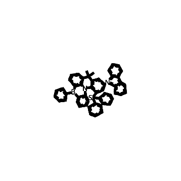 CC1(C)c2cccc3c2N2c4c(cccc4[Si](c4ccccc4)(c4ccccc4)c4cc(-n5c6ccccc6c6ccccc65)cc1c42)B3c1ccccc1